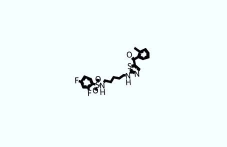 Cc1ccccc1C(=O)c1cnc(NCCCCCNS(=O)(=O)c2ccc(F)cc2F)s1